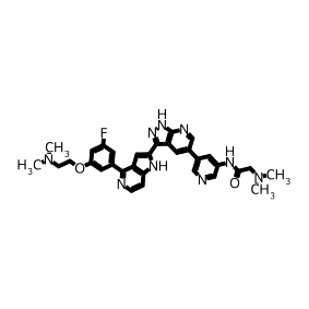 CN(C)CCOc1cc(F)cc(-c2nccc3[nH]c(-c4n[nH]c5ncc(-c6cncc(NC(=O)CN(C)C)c6)cc45)cc23)c1